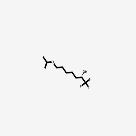 CC(C)OCCCCC[C@H](O)C(F)(F)F